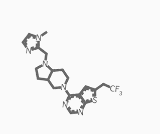 Cn1ccnc1CN1CCC2CN(c3ncnc4sc(CC(F)(F)F)cc34)CCC21